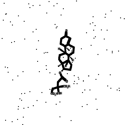 C[C@]12CC[C@H]3[C@@H](CCC4=CC(=O)CC[C@@]43C)[C@@H]1CC[C@@H]2OC(=O)CC(O)(CC(=O)O)C(=O)O